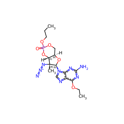 CCCOP1(=O)OC[C@H]2O[C@@H](n3cnc4c(OCC)nc(N)nc43)[C@](C)(N=[N+]=[N-])[C@@H]2O1